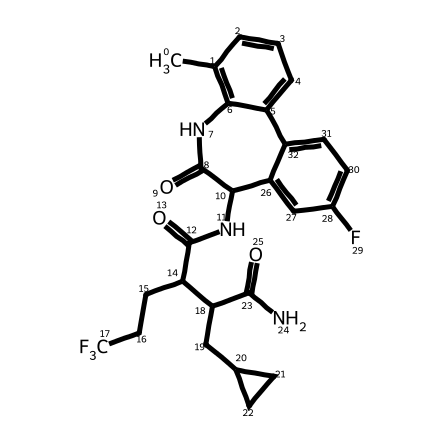 Cc1cccc2c1NC(=O)C(NC(=O)C(CCC(F)(F)F)C(CC1CC1)C(N)=O)c1cc(F)ccc1-2